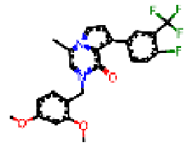 COc1ccc(Cn2cc(C)n3ccc(-c4ccc(F)c(C(F)(F)F)c4)c3c2=O)c(OC)c1